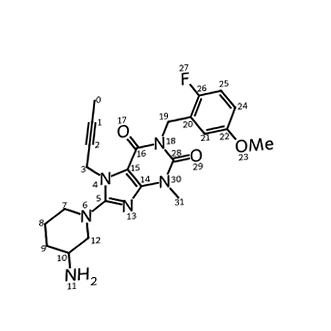 CC#CCn1c(N2CCCC(N)C2)nc2c1c(=O)n(Cc1cc(OC)ccc1F)c(=O)n2C